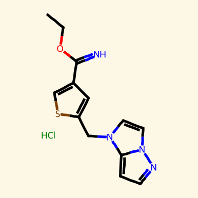 CCOC(=N)c1csc(Cn2ccn3nccc23)c1.Cl